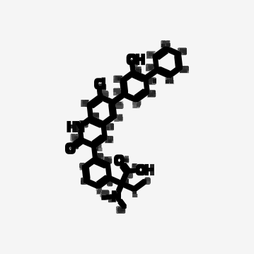 CCC(C(=O)O)(c1cccc(-c2cc3cc(-c4ccc(-c5ccccc5)c(O)c4)c(Cl)cc3[nH]c2=O)c1)N(C)C